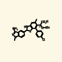 Cc1cc2c(c(-c3ccc(Cl)cc3)c1[C@H](OC(C)(C)C)C(=O)O)SC(c1ccc3c(c1)c(N)nn3C)N2